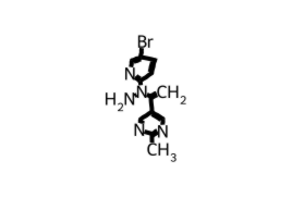 C=C(c1cnc(C)nc1)N(N)c1ccc(Br)cn1